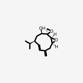 C=C1/C=C/[C@@H](C(C)C)C[C@@H](O)[C@]2(CO2)[C@H]2O[C@H]2C1